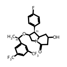 C[C@@H](OC1CN2C(=O)CC(O)CC2[C@@H]1c1ccc(F)cc1)c1cc(C(F)(F)F)cc(C(F)(F)F)c1